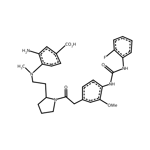 COc1cc(CC(=O)N2CCCC2CCN(C)c2ccc(C(=O)O)cc2N)ccc1NC(=O)Nc1ccccc1F